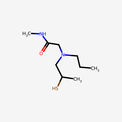 CCCN(CC(=O)NC)CC(C)S